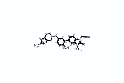 Cc1nc2c(s1)CN(Cc1ccc(C#N)c(-c3ccc4c(n3)n(C)c(=O)n4CC(C)(C)C)c1)CC2